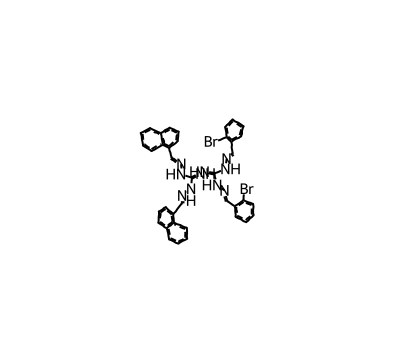 N=C(N/N=C/c1cccc2ccccc12)N/N=C/c1cccc2ccccc12.N=C(N/N=C/c1ccccc1Br)N/N=C/c1ccccc1Br